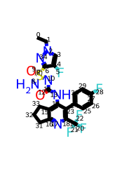 CCn1cc(F)c([S@](N)(=O)=NC(=O)Nc2c3c(nc(C(F)(F)F)c2-c2ccc(F)cc2)CCC3)n1